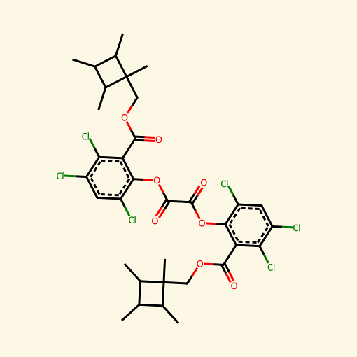 CC1C(C)C(C)(COC(=O)c2c(Cl)c(Cl)cc(Cl)c2OC(=O)C(=O)Oc2c(Cl)cc(Cl)c(Cl)c2C(=O)OCC2(C)C(C)C(C)C2C)C1C